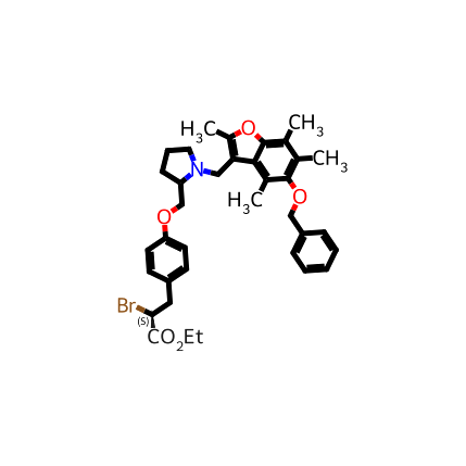 CCOC(=O)[C@@H](Br)Cc1ccc(OCC2CCCN2Cc2c(C)oc3c(C)c(C)c(OCc4ccccc4)c(C)c23)cc1